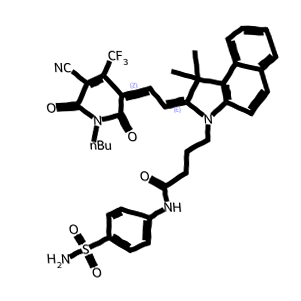 CCCCN1C(=O)C(C#N)=C(C(F)(F)F)/C(=C/C=C2/N(CCCC(=O)Nc3ccc(S(N)(=O)=O)cc3)c3ccc4ccccc4c3C2(C)C)C1=O